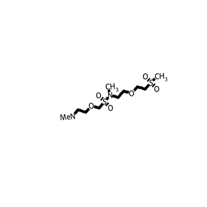 CNCCOCS(=O)(=O)N(C)CCOCCS(C)(=O)=O